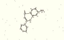 C=C1C=C(c2ccccc2)Oc2cc(N)ccc21